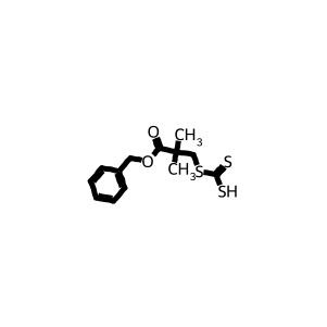 CC(C)(CSC(=S)S)C(=O)OCc1ccccc1